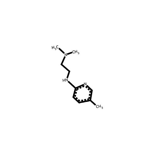 Cc1ccc(NCCN(C)C)nc1